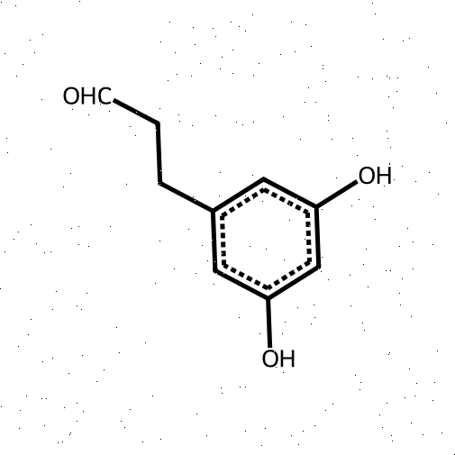 O=CCCc1cc(O)cc(O)c1